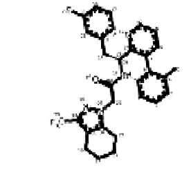 Cc1ccccc1-c1cccnc1[C@H](Cc1cccc(F)c1)NC(=O)Cn1nc(C(F)(F)F)c2c1CCCC2